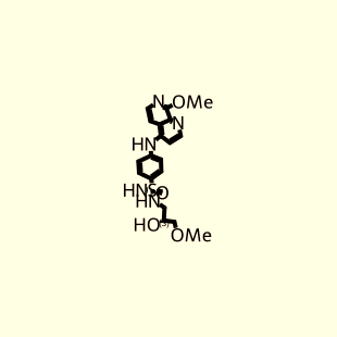 COC[C@@H](O)CNS(=N)(=O)c1ccc(Nc2ccnc3c(OC)nccc23)cc1